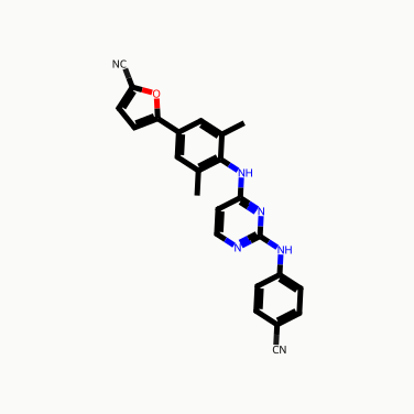 Cc1cc(-c2ccc(C#N)o2)cc(C)c1Nc1ccnc(Nc2ccc(C#N)cc2)n1